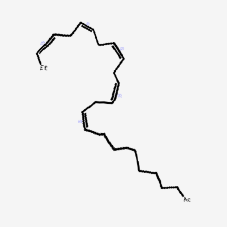 CC/C=C\C/C=C\C/C=C\C/C=C\C/C=C\CCCCCCCC(C)=O